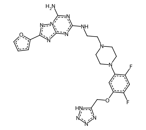 Nc1nc(NCCN2CCN(c3cc(OCc4nnn[nH]4)c(F)cc3F)CC2)nc2nc(-c3ccco3)nn12